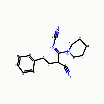 N#CN=C(C(C#N)CCc1ccccc1)N1CCCCC1